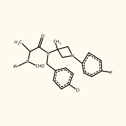 CC(C)N(C=O)C(C)C(=O)N(Cc1ccc(Cl)cc1)C1(C)CN(c2ccc(F)cc2)C1